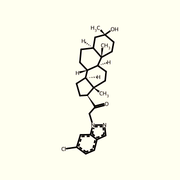 C[C@@]1(O)CC[C@@]2(C)[C@@H](CC[C@@H]3[C@@H]2CC[C@]2(C)[C@@H](C(=O)Cn4ncc5ccc(Cl)cc54)CC[C@@H]32)C1